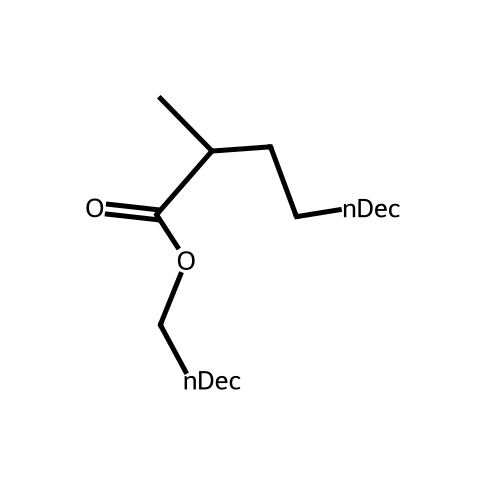 CCCCCCCCCCCCC(C)C(=O)OCCCCCCCCCCC